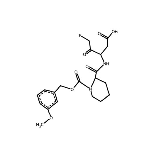 COc1cccc(COC(=O)N2CCCCC2C(=O)NC(CC(=O)O)C(=O)CF)c1